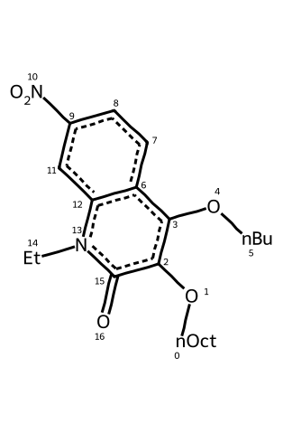 CCCCCCCCOc1c(OCCCC)c2ccc([N+](=O)[O-])cc2n(CC)c1=O